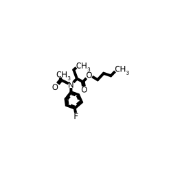 CCCCOC(=O)C(CC)N(C(C)=O)c1ccc(F)cc1